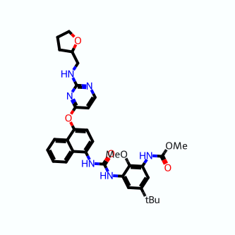 COC(=O)Nc1cc(C(C)(C)C)cc(NC(=O)Nc2ccc(Oc3ccnc(NCC4CCCO4)n3)c3ccccc23)c1OC